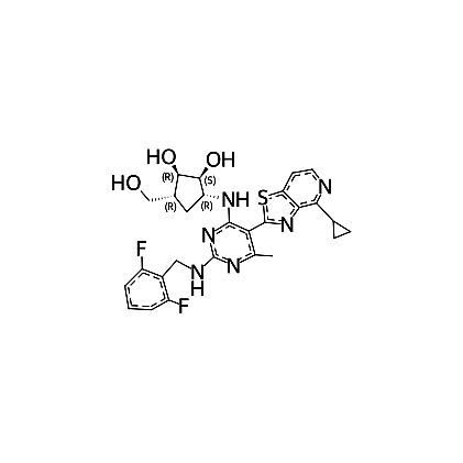 Cc1nc(NCc2c(F)cccc2F)nc(N[C@@H]2C[C@H](CO)[C@@H](O)[C@H]2O)c1-c1nc2c(C3CC3)nccc2s1